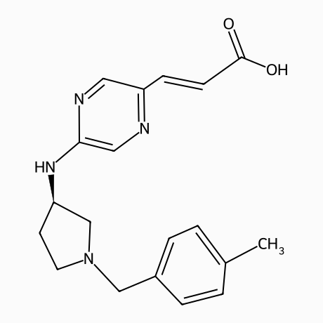 Cc1ccc(CN2CC[C@@H](Nc3cnc(C=CC(=O)O)cn3)C2)cc1